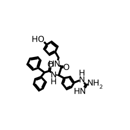 N=C(N)Nc1cccc([C@@H](NC(=O)C(c2ccccc2)c2ccccc2)C(=O)NCc2ccc(O)cc2)c1